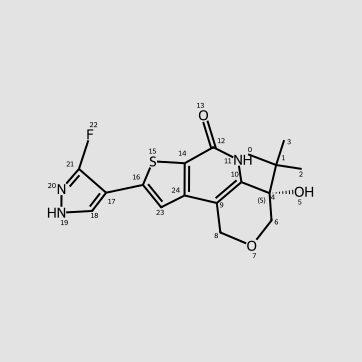 CC(C)(C)[C@@]1(O)COCc2c1[nH]c(=O)c1sc(-c3c[nH]nc3F)cc21